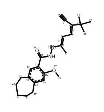 C#C/C(=C\C=C(/C)NNC(=O)c1cc2c(cc1OC)CCCCC2)C(C)(C)C